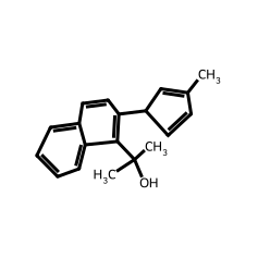 CC1=CC(c2ccc3ccccc3c2C(C)(C)O)C=C1